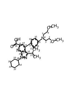 COCCN(CCOC)c1ccc(-c2cc(C(=O)O)nc3c2c(C(C)C)nn3C2CCCCC2)cc1